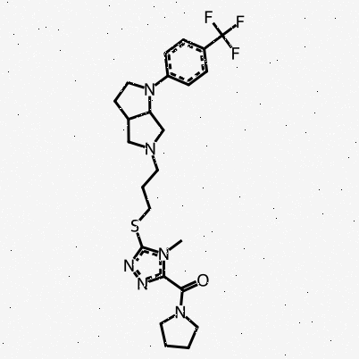 Cn1c(SCCCN2CC3CCN(c4ccc(C(F)(F)F)cc4)C3C2)nnc1C(=O)N1CCCC1